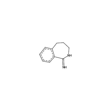 N=C1NCCCc2ccccc21